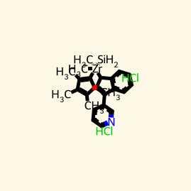 CC1=C(C)C(C)[C]([Zr]([CH3])([CH3])(=[SiH2])[CH]2C=C(c3cccnc3)c3ccccc32)=C1C.Cl.Cl